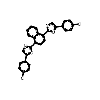 Clc1ccc(-c2cnc(-c3ccc(-c4ncc(-c5ccc(Cl)cc5)o4)c4ccccc34)o2)cc1